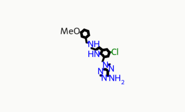 COc1cccc(CNCc2cc3cc(Cl)cc(Cn4cnc5c(N)ncnc54)c3[nH]2)c1